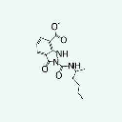 CCCCC(C)NC(=O)n1[nH]c2c(C(=O)OC)cccc2c1=O